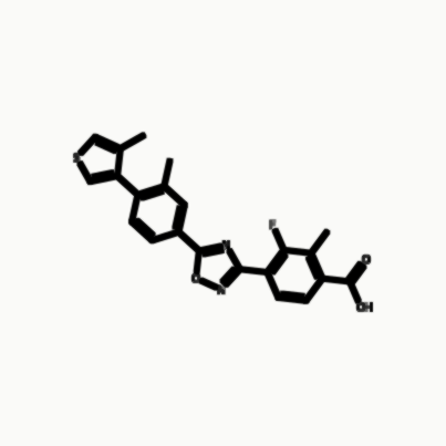 Cc1cc(-c2nc(-c3ccc(C(=O)O)c(C)c3F)no2)ccc1-c1cscc1C